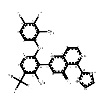 Cc1c(Oc2ncc(C(F)(F)F)c(C)c2-c2cc(=O)c3c(-c4ncc[nH]4)nccc3[nH]2)ccc(F)c1F